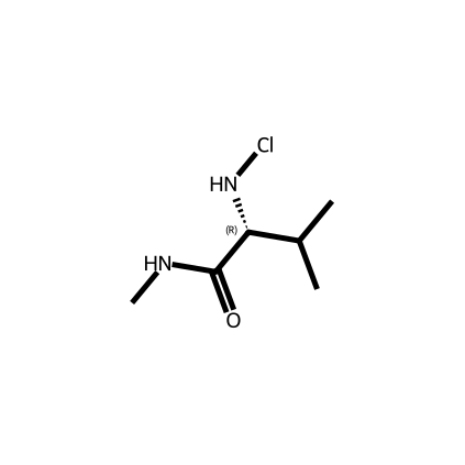 CNC(=O)[C@H](NCl)C(C)C